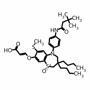 CCCCC1(CCCC)CN(c2ccc(NC(=O)CC(C)(C)C)cc2)c2cc(SC)c(O/C=C/C(=O)O)cc2[S+]([O-])C1